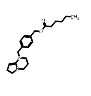 CCCCCC(=O)OCc1ccc(CN2CCCN3CCC=C32)cc1